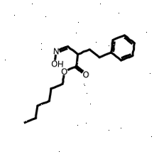 CCCCCCOC(=O)C(/C=N\O)CCc1ccccc1